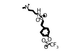 CN(C)CCCNS(=O)(=O)C=Cc1ccc(OS(=O)(=O)C(F)(F)F)cc1